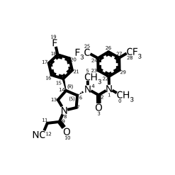 CN(C(=O)N(C)[C@@H]1CN(C(=O)CC#N)C[C@H]1c1ccc(F)cc1)c1cc(C(F)(F)F)cc(C(F)(F)F)c1